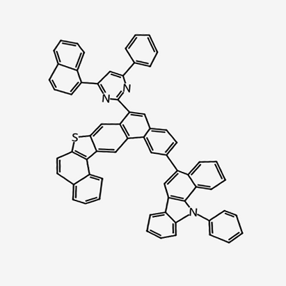 c1ccc(-c2cc(-c3cccc4ccccc34)nc(-c3cc4ccc(-c5cc6c7ccccc7n(-c7ccccc7)c6c6ccccc56)cc4c4cc5c(cc34)sc3ccc4ccccc4c35)n2)cc1